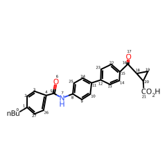 CCCCc1ccc(C(=O)Nc2ccc(-c3ccc(C(=O)C4CC4C(=O)O)cc3)cc2)cc1